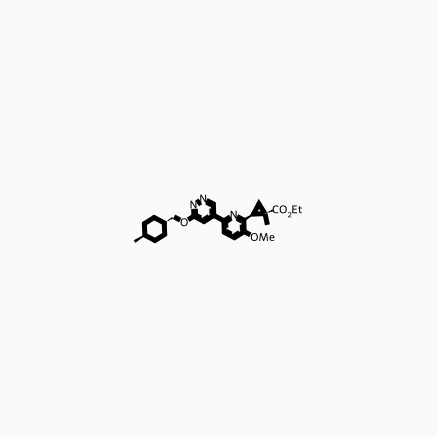 CCOC(=O)[C@@]1(C)C[C@@H]1c1nc(-c2cnnc(OC[C@H]3CC[C@H](C)CC3)c2)ccc1OC